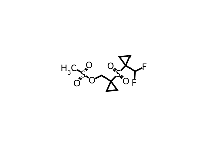 CS(=O)(=O)OCC1(S(=O)(=O)C2(C(F)F)CC2)CC1